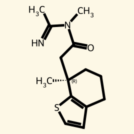 CC(=N)N(C)C(=O)C[C@@]1(C)CCCc2ccsc21